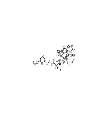 CC1=CC=CC(CCCNC(C)NC2COC(C)C(c3ccc4c(c3)CCCO4)C(C(OC(C)(C)C)C(=O)O)C2C)C1